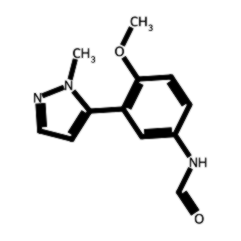 COc1ccc(NC=O)cc1-c1ccnn1C